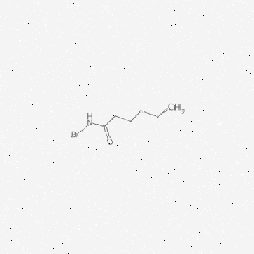 CCCCCC(=O)NBr